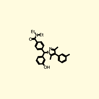 CCN(CC)C(=O)c1ccc(C(c2cccc(O)c2)n2nc(C)c(-c3cccc(C)c3)c2C)cc1